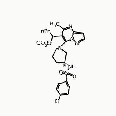 CCCC(C(=O)OCC)c1c(C)nc2ccnn2c1N1CCC[C@@H](NS(=O)(=O)c2ccc(Cl)cc2)C1